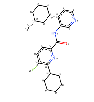 O=C(Nc1cnccc1[C@H]1CCC[C@@H](C(F)(F)F)C1)c1ccc(F)c(C2CCCCC2)n1